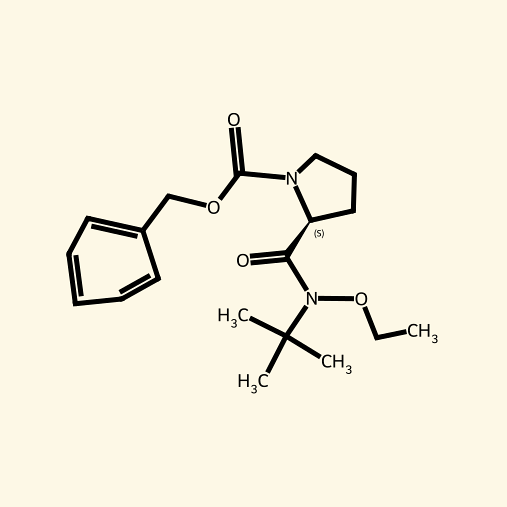 CCON(C(=O)[C@@H]1CCCN1C(=O)OCc1ccccc1)C(C)(C)C